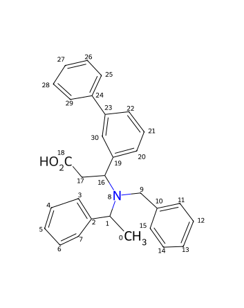 CC(c1ccccc1)N(Cc1ccccc1)C(CC(=O)O)c1cccc(-c2ccccc2)c1